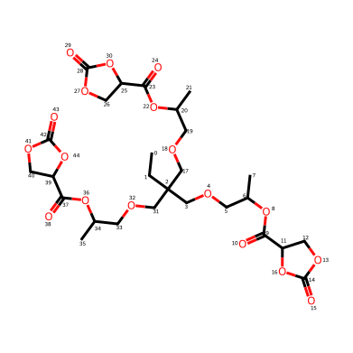 CCC(COCC(C)OC(=O)C1COC(=O)O1)(COCC(C)OC(=O)C1COC(=O)O1)COCC(C)OC(=O)C1COC(=O)O1